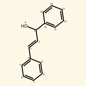 OC(C=Cc1ccccc1)c1ccccc1